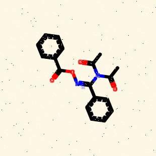 CC(=O)N(C(C)=O)/C(=N\OC(=O)c1ccccc1)c1ccccc1